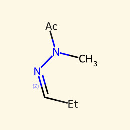 CC/C=N\N(C)C(C)=O